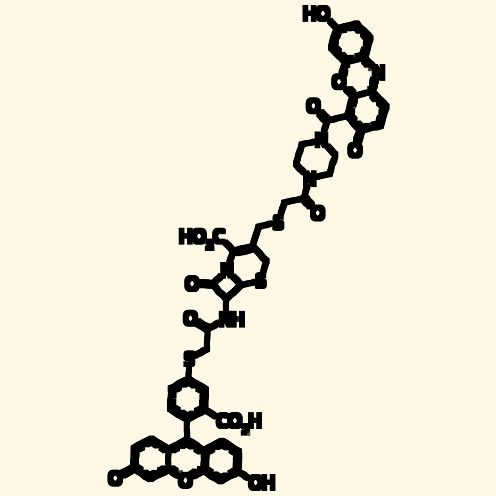 O=C(CSc1ccc(-c2c3ccc(=O)cc-3oc3cc(O)ccc23)c(C(=O)O)c1)NC1C(=O)N2C(C(=O)O)=C(CSCC(=O)N3CCN(C(=O)c4c5oc6cc(O)ccc6nc-5ccc4=O)CC3)CSC12